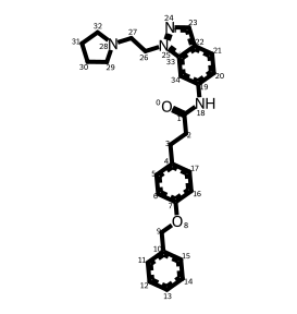 O=C(CCc1ccc(OCc2ccccc2)cc1)Nc1ccc2cnn(CCN3CCCC3)c2c1